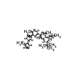 COc1c(NSC)cc(C(C)(C)C)cc1NC(=O)c1ccc(C)c(-n2cc(-c3cncn3C)cn2)c1